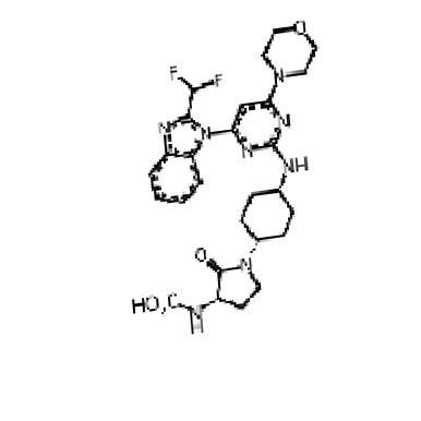 O=C(O)N[C@@H]1CCN([C@H]2CC[C@H](Nc3nc(N4CCOCC4)cc(-n4c(C(F)F)nc5ccccc54)n3)CC2)C1=O